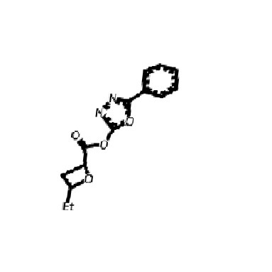 CCC1CC(C(=O)Oc2nnc(-c3ccccc3)o2)O1